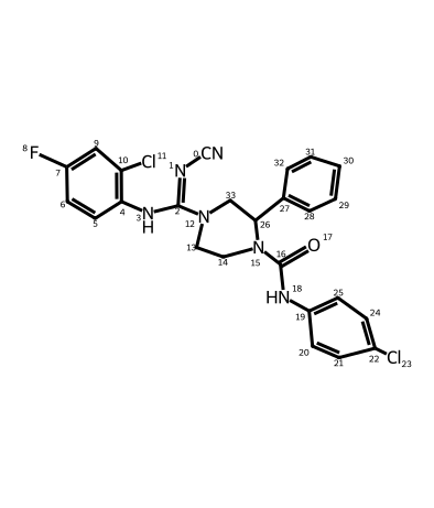 N#C/N=C(/Nc1ccc(F)cc1Cl)N1CCN(C(=O)Nc2ccc(Cl)cc2)C(c2ccccc2)C1